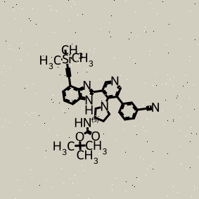 CC(C)(C)OC(=O)N[C@H]1CCN(c2c(-c3cccc(C#N)c3)cncc2-c2nc3c(C#C[Si](C)(C)C)cccc3[nH]2)C1